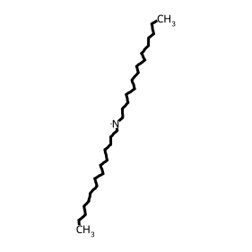 CCCCCCCCCCCCCCC[N]CCCCCCCCCCCCCCC